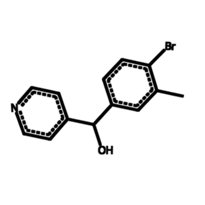 Cc1cc(C(O)c2ccncc2)ccc1Br